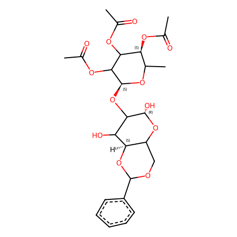 CC(=O)OC1C(OC(C)=O)[C@@H](OC(C)=O)C(C)O[C@H]1OC1C(O)[C@@H]2OC(c3ccccc3)OCC2O[C@H]1O